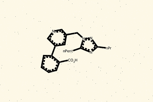 CCCCCc1nc(CCC)nn1Cc1cncc(-c2ccccc2C(=O)O)c1